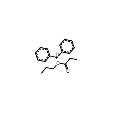 CCCOC(=O)CC.c1ccc(Pc2ccccc2)cc1